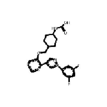 O=C(O)NC1CCC(COc2cncnc2-c2cnn(-c3cc(F)cc(F)c3)c2)CC1